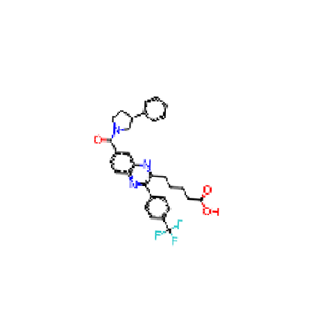 O=C(O)CCCCc1nc2cc(C(=O)N3CCC(c4ccccc4)C3)ccc2nc1-c1ccc(C(F)(F)F)cc1